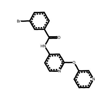 O=C(Nc1ccnc(Oc2cccnc2)c1)c1cccc(Br)c1